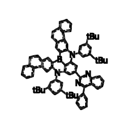 CC(C)(C)c1cc(N2c3cc4c(ccc5ccccc54)cc3B3c4cc5ccc6ccccc6c5cc4N(c4cc(C(C)(C)C)cc(C(C)(C)C)c4)c4cc(-c5nc(-c6ccccc6)c6ccccc6n5)cc2c43)cc(C(C)(C)C)c1